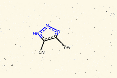 CCCc1nn[nH]c1C#N